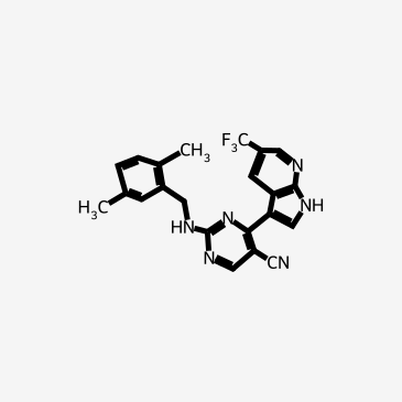 Cc1ccc(C)c(CNc2ncc(C#N)c(-c3c[nH]c4ncc(C(F)(F)F)cc34)n2)c1